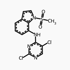 CS(=O)(=O)n1ccc2cccc(Nc3nc(Cl)ncc3Cl)c21